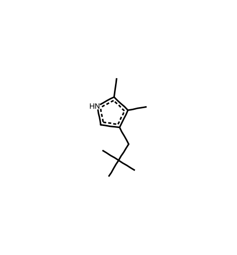 Cc1[nH]cc(CC(C)(C)C)c1C